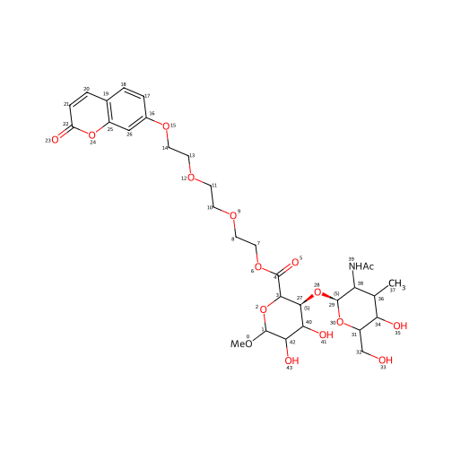 COC1OC(C(=O)OCCOCCOCCOc2ccc3ccc(=O)oc3c2)[C@@H](O[C@@H]2OC(CO)C(O)C(C)C2NC(C)=O)C(O)C1O